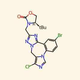 CC(C)(C)[C@@H]1COC(=O)N1Cc1nc2n(n1)Cc1c(Cl)ncn1-c1ccc(Br)cc1-2